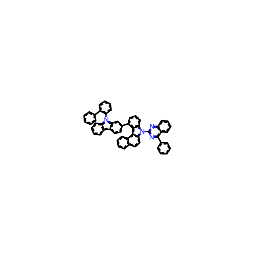 c1ccc(-c2ccccc2-n2c3ccccc3c3ccc(-c4cccc5c4c4c6ccccc6ccc4n5-c4nc(-c5ccccc5)c5ccccc5n4)cc32)cc1